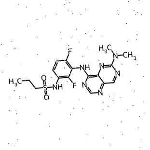 CCCS(=O)(=O)Nc1ccc(F)c(Nc2ncnc3cnc(N(C)C)nc23)c1F